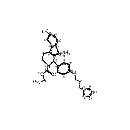 CCOC(=O)N1CCc2c(n(N)c3ccc(Cl)cc23)C1c1ccc(OCCCn2cncn2)cc1